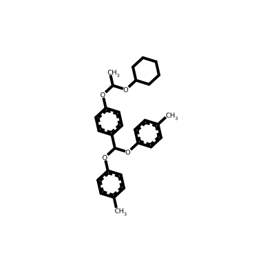 Cc1ccc(OC(Oc2ccc(C)cc2)c2ccc(OC(C)OC3CCCCC3)cc2)cc1